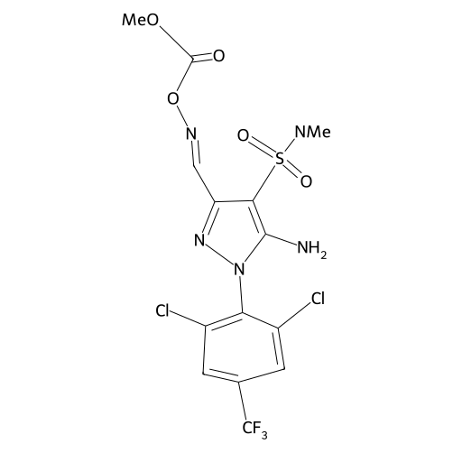 CNS(=O)(=O)c1c(/C=N/OC(=O)OC)nn(-c2c(Cl)cc(C(F)(F)F)cc2Cl)c1N